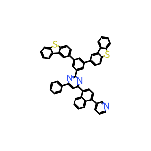 c1ccc(-c2cc(-c3ccc(-c4cccnc4)c4ccccc34)nc(-c3cc(-c4ccc5sc6ccccc6c5c4)cc(-c4ccc5sc6ccccc6c5c4)c3)n2)cc1